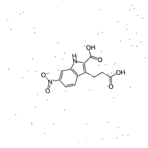 O=C(O)CCc1c(C(=O)O)[nH]c2cc([N+](=O)[O-])ccc12